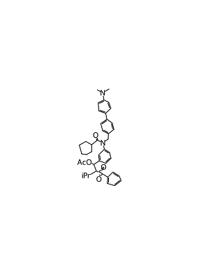 CC(=O)OC(c1cccc(N(Cc2ccc(-c3ccc(N(C)C)cc3)cc2)C(=O)C2CCCCC2)c1)C(C(C)C)S(=O)(=O)c1ccccc1